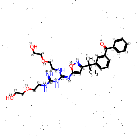 CC(C)(c1cccc(C(=O)c2ccccc2)c1)c1cc(/N=C(\NCCOCCO)NC(=N)NCCOCCO)on1